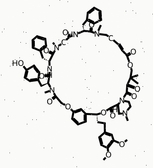 COc1ccc(CC[C@H]2OC(=O)[C@@H]3CN(C)CCN3C(=O)C(=O)C(C)(C)COC(=O)/C=C/CCN(C)C(=O)[C@@H](Cc3ccccc3)NC(=O)CN(C)C(=O)[C@@H](Cc3ccccc3)NC(=O)[C@H](Cc3ccc(O)cc3)N(C)C(=O)COc3cccc2c3)cc1OC